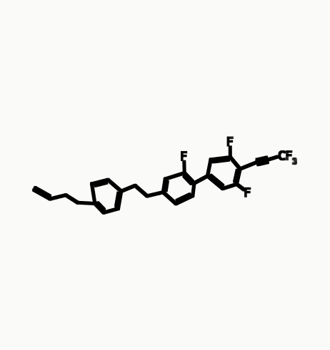 C=CCCc1ccc(CCc2ccc(-c3cc(F)c(C#CC(F)(F)F)c(F)c3)c(F)c2)cc1